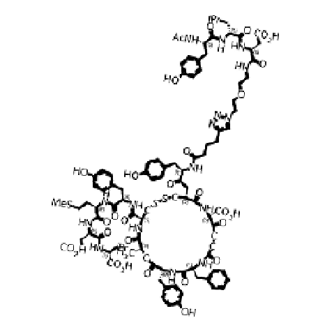 CSCC[C@@H](NC(=O)[C@@H](Cc1ccc(O)cc1)NC(=O)[C@H]1CSSC[C@@H](CC(=O)[C@@H](Cc2ccc(O)cc2)NC(=O)CCCc2cn(CCOCCNC(=O)[C@H](CC(=O)O)NC(=O)[C@@H](CC(C)C)NC(=O)[C@H](Cc3ccc(O)cc3)NC(C)=O)nn2)C(=O)N[C@H](C(=O)O)C(=O)CCC(=O)N[C@@H](Cc2ccccc2)C(=O)N[C@H](Cc2ccc(O)cc2)C(=O)C[C@H](C)C(=O)N1)C(=O)N[C@H](CC(=O)O)C(=O)N[C@@H](C(=O)O)C(C)C